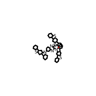 c1ccc2c(c1)sc1cc3c4ccccc4n(-c4ccc5nc(-n6c7ccccc7c7cc8sc9ccccc9c8cc76)c(-n6c7ccccc7c7cc8sc9ccccc9c8cc76)nc5c4)c3cc12